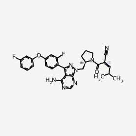 CC(C)/C=C(/C#N)C(=O)N1CCC[C@@H]1Cn1nc(-c2ccc(Oc3cccc(F)c3)cc2F)c2c(N)ncnc21